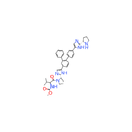 COC(=O)N[C@H](C(=O)N1CCC[C@H]1c1ncc(-c2ccc(-c3ccc(-c4cnc([C@@H]5CCCN5)[nH]4)cc3)c(-c3ccccc3)c2)[nH]1)C(C)C